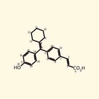 O=C(O)C=Cc1ccc(C(=C2CCCCC2)c2ccc(O)cc2)cc1